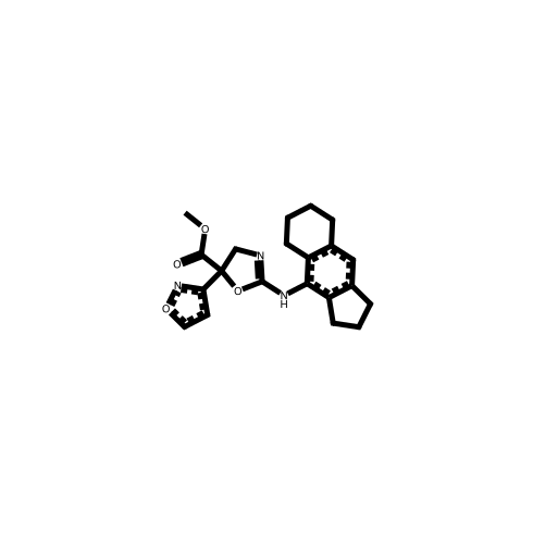 COC(=O)C1(c2ccon2)CN=C(Nc2c3c(cc4c2CCC4)CCCC3)O1